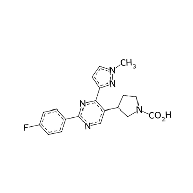 Cn1ccc(-c2nc(-c3ccc(F)cc3)ncc2C2CCN(C(=O)O)C2)n1